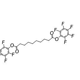 O=C(CCCCCCCCC(=O)Oc1c(F)c(F)c(F)c(F)c1F)Oc1c(F)c(F)c(F)c(F)c1F